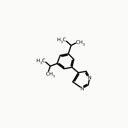 CC(C)c1cc(-c2cncnc2)cc(C(C)C)c1